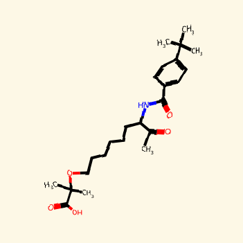 CC(=O)C(CCCCCCOC(C)(C)C(=O)O)NC(=O)c1ccc(C(C)(C)C)cc1